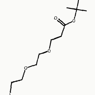 CC(C)(C)OC(=O)CCOCCOCCI